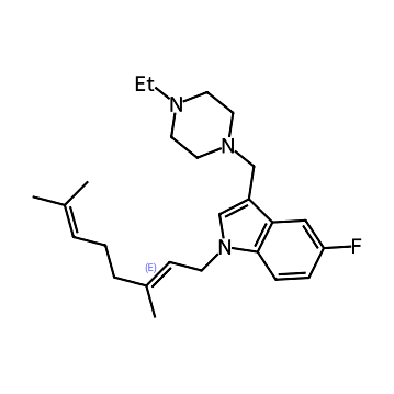 CCN1CCN(Cc2cn(C/C=C(\C)CCC=C(C)C)c3ccc(F)cc23)CC1